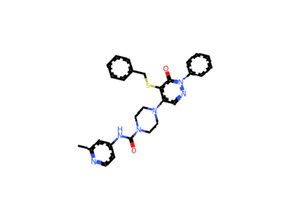 Cc1cc(NC(=O)N2CCN(c3cnn(-c4ccccc4)c(=O)c3SCc3ccccc3)CC2)ccn1